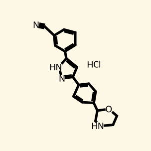 Cl.N#Cc1cccc(-c2cc(-c3ccc(C4CNCCO4)cc3)n[nH]2)c1